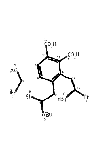 CC(=O)CC(C)C.CCCCC(CC)Cc1ccc(C(=O)O)c(C(=O)O)c1CC(CC)CCCC